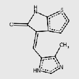 Cc1nc[nH]c1C=C1C(=O)Nc2sccc21